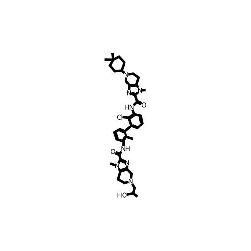 Cc1c(NC(=O)c2nc3c(n2C)CCN(CC(C)O)C3)cccc1-c1cccc(NC(=O)c2nc3c(n2C)CCN(C2CCC(C)(C)CC2)C3)c1Cl